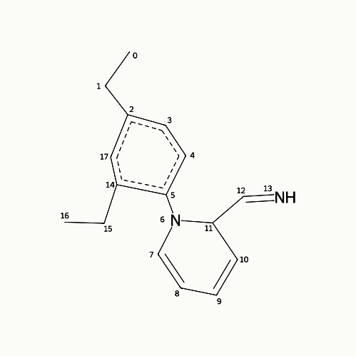 CCc1ccc(N2C=CC=CC2C=N)c(CC)c1